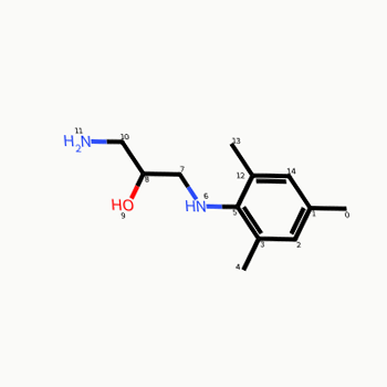 Cc1cc(C)c(NCC(O)CN)c(C)c1